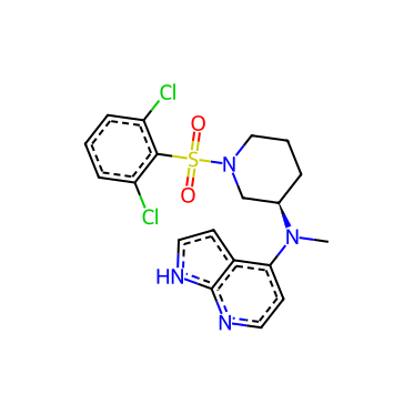 CN(c1ccnc2[nH]ccc12)[C@@H]1CCCN(S(=O)(=O)c2c(Cl)cccc2Cl)C1